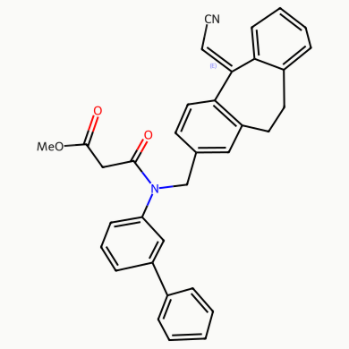 COC(=O)CC(=O)N(Cc1ccc2c(c1)CCc1ccccc1/C2=C\C#N)c1cccc(-c2ccccc2)c1